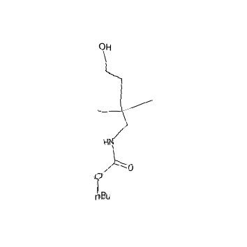 CCCCOC(=O)NCC(C)(C)CCO